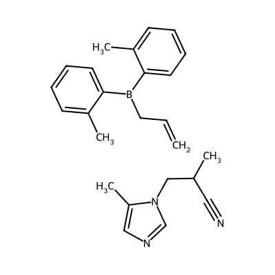 C=CCB(c1ccccc1C)c1ccccc1C.Cc1cncn1CC(C)C#N